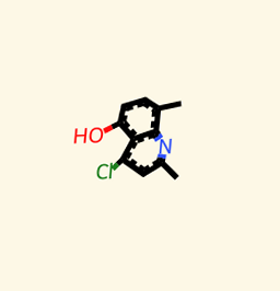 Cc1cc(Cl)c2c(O)ccc(C)c2n1